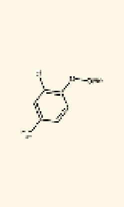 COOc1ccc(C(F)(F)F)cc1Cl